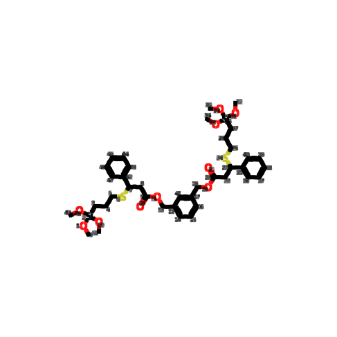 CO[Si](CCCSC(CC(=O)OCc1cccc(COC(=O)CC(SCCC[Si](OC)(OC)OC)c2ccccc2)c1)c1ccccc1)(OC)OC